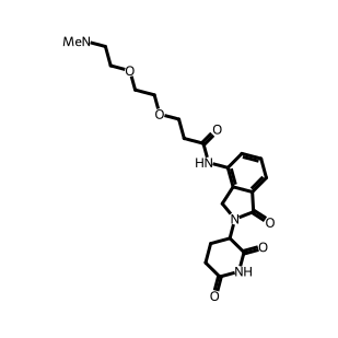 CNCCOCCOCCC(=O)Nc1cccc2c1CN(C1CCC(=O)NC1=O)C2=O